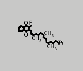 CC(=CCC1=C(CF)C(=O)c2ccccc2C1=O)CCCC(C)CCCC(C)CCCC(C)C